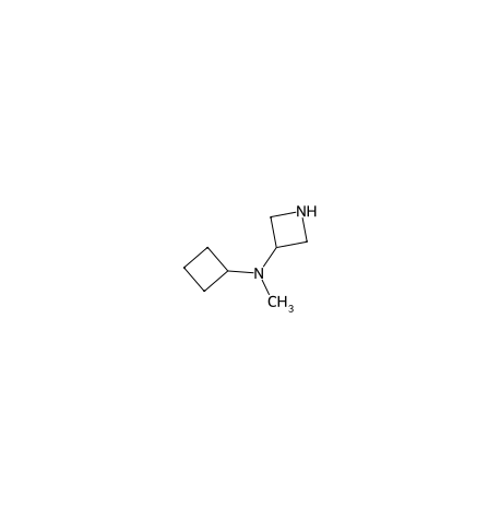 CN(C1CCC1)C1CNC1